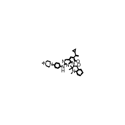 C=C(c1cc2cnc(Nc3ccc(N4CCN(C)CC4)cc3)nc2n(C2C(=O)c3ccccc3N(C)C2(C)C)c1=O)C1CC1